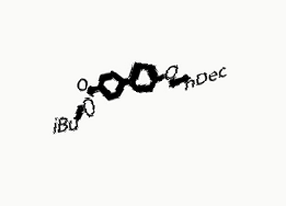 CCCCCCCCCCC=COc1ccc(-c2ccc(C(=O)OCC(C)CC)cc2)cc1